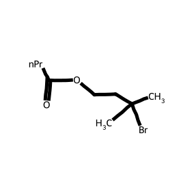 CCCC(=O)OCCC(C)(C)Br